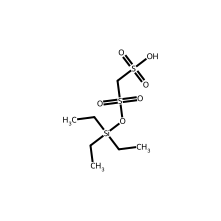 CC[Si](CC)(CC)OS(=O)(=O)CS(=O)(=O)O